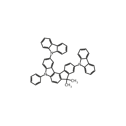 CC1(C)c2cc(-n3c4ccccc4c4ccccc43)ccc2-c2c1ccc1c2c2cc(-n3c4ccccc4c4ccccc43)ccc2n1-c1ccccc1